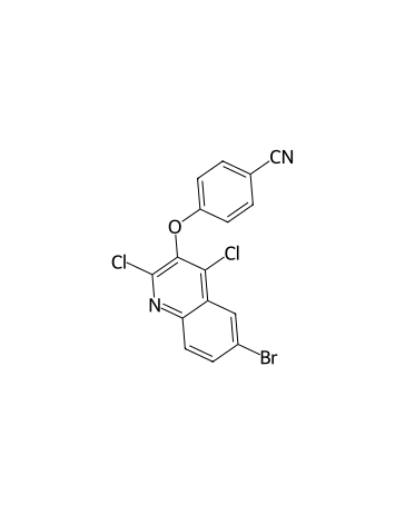 N#Cc1ccc(Oc2c(Cl)nc3ccc(Br)cc3c2Cl)cc1